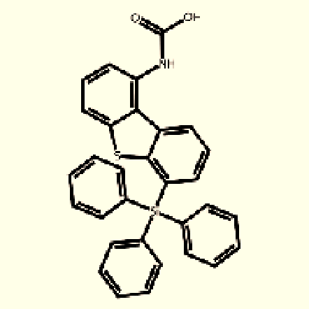 O=C(O)Nc1cccc2sc3c([Si](c4ccccc4)(c4ccccc4)c4ccccc4)cccc3c12